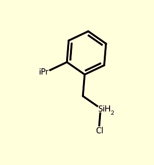 CC(C)c1ccccc1C[SiH2]Cl